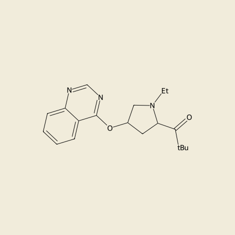 CCN1CC(Oc2ncnc3ccccc23)CC1C(=O)C(C)(C)C